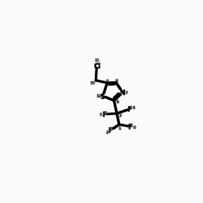 FC(F)C(F)(F)c1ncc(CCl)s1